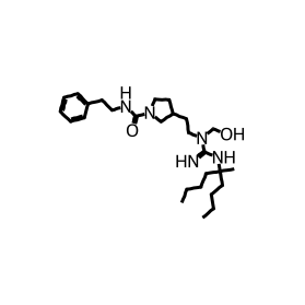 CCCCC(C)(CCCC)NC(=N)N(CO)CCC1CCN(C(=O)NCCc2ccccc2)C1